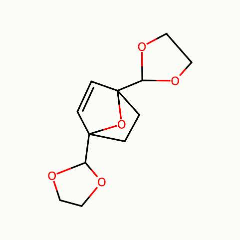 C1=CC2(C3OCCO3)CCC1(C1OCCO1)O2